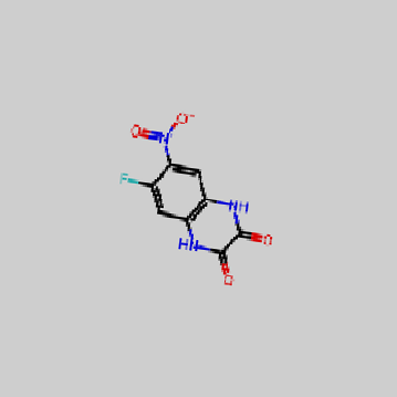 O=c1[nH]c2cc(F)c([N+](=O)[O-])cc2[nH]c1=O